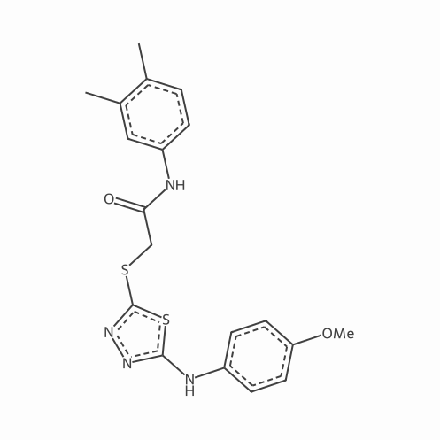 COc1ccc(Nc2nnc(SCC(=O)Nc3ccc(C)c(C)c3)s2)cc1